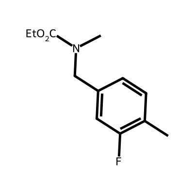 CCOC(=O)N(C)Cc1ccc(C)c(F)c1